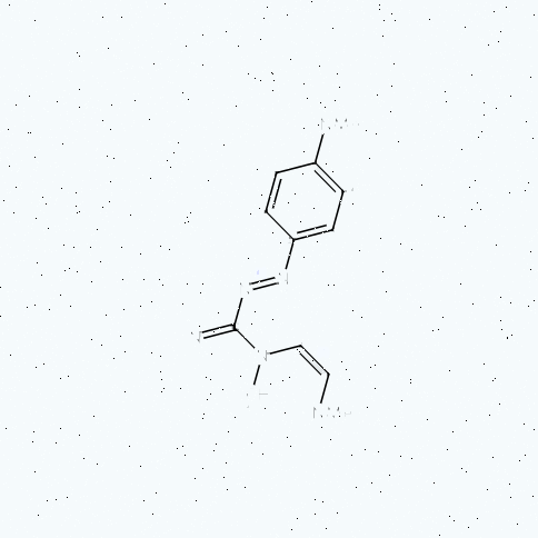 CN/C=C\N(C)C(=N)/N=N/c1ccc(NC)cc1